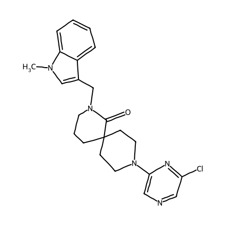 Cn1cc(CN2CCCC3(CCN(c4cncc(Cl)n4)CC3)C2=O)c2ccccc21